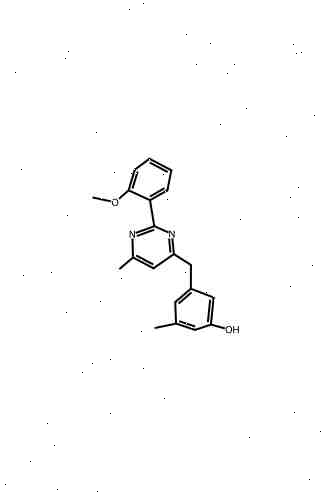 COc1ccccc1-c1nc(C)cc(Cc2cc(C)cc(O)c2)n1